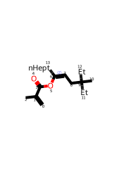 C=C(C)C(=O)O/C(=C\CC(C)(CC)CC)CCCCCCC